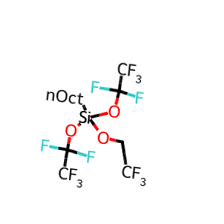 CCCCCCCC[Si](OCC(F)(F)F)(OC(F)(F)C(F)(F)F)OC(F)(F)C(F)(F)F